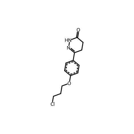 O=C1CCC(c2ccc(OCCCCl)cc2)=NN1